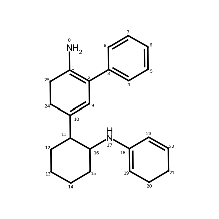 NC1=C(c2ccccc2)C=C(C2CCCCC2NC2=CCCC=C2)CC1